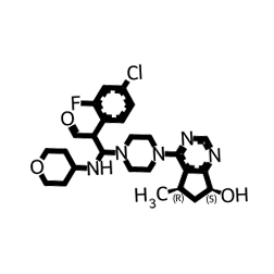 C[C@@H]1C[C@H](O)c2ncnc(N3CCN(C(NC4CCOCC4)C(C=O)c4ccc(Cl)cc4F)CC3)c21